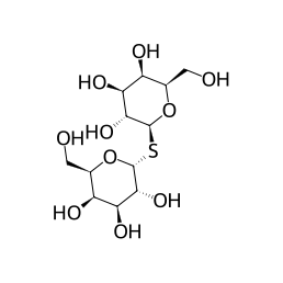 OC[C@H]1O[C@H](S[C@@H]2O[C@H](CO)[C@H](O)[C@H](O)[C@H]2O)[C@H](O)[C@@H](O)[C@H]1O